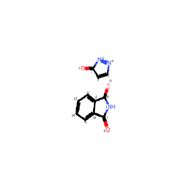 O=C1C=CN=N1.O=C1NC(=O)c2ccccc21